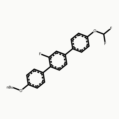 CCCCOc1ccc(-c2ccc(-c3ccc(OC(F)F)cc3)cc2F)cc1